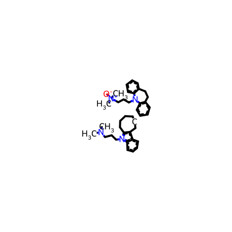 CN(C)CCCn1c2c(c3ccccc31)CCCCCC2.C[N+](C)([O-])CCCN1c2ccccc2CCc2ccccc21